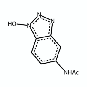 CC(=O)Nc1ccc2c(c1)nnn2O